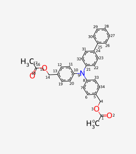 CC(=O)OCc1ccc(N(c2ccc(COC(C)=O)cc2)c2ccc(-c3ccccc3)cc2)cc1